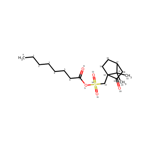 CCCCCCCC(=O)OS(=O)(=O)CC12CCC(CC1=O)C2(C)C